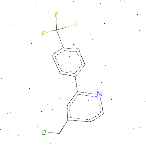 FC(F)(F)c1ccc(-c2cc(CCl)ccn2)cc1